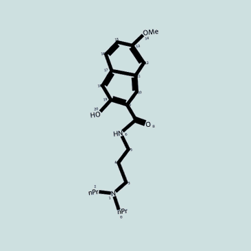 CCCN(CCC)CCCNC(=O)c1cc2cc(OC)ccc2cc1O